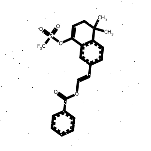 CC1(C)CC=C(OS(=O)(=O)C(F)(F)F)c2cc(C=COC(=O)c3ccccc3)ccc21